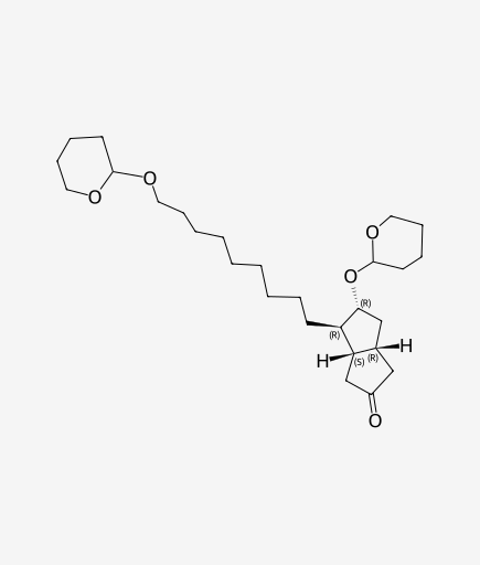 O=C1C[C@H]2C[C@@H](OC3CCCCO3)[C@H](CCCCCCCCCOC3CCCCO3)[C@H]2C1